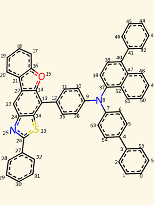 c1ccc(-c2ccc(N(c3ccc(-c4c5oc6ccccc6c5cc5nc(-c6ccccc6)sc45)cc3)c3ccc(-c4ccccc4)c4ccccc34)cc2)cc1